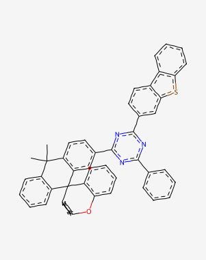 CC1(C)c2ccccc2C2(c3ccccc3Oc3ccccc32)c2cc(-c3nc(-c4ccccc4)nc(-c4ccc5c(c4)sc4ccccc45)n3)ccc21